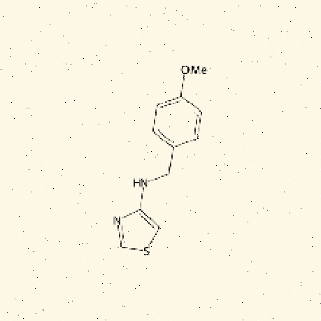 COc1ccc(CNc2cs[c]n2)cc1